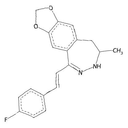 CC1Cc2cc3c(cc2C(/C=C/c2ccc(F)cc2)=NN1)OCO3